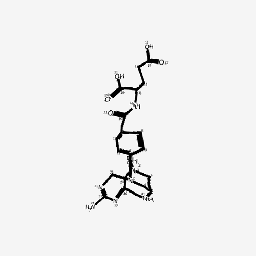 CN1CC2CN(c3ccc(C(=O)NC(CCC(=O)O)C(=O)O)cc3)C13CN=C(N)N=C3N2